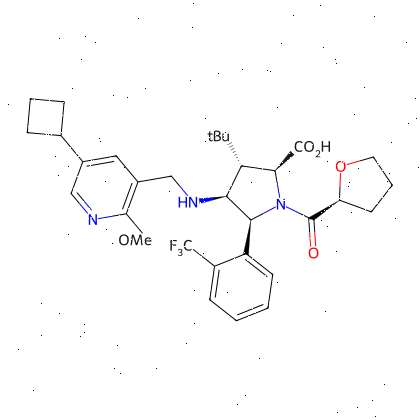 COc1ncc(C2CCC2)cc1CN[C@H]1[C@H](C(C)(C)C)[C@@H](C(=O)O)N(C(=O)[C@@H]2CCCO2)[C@H]1c1ccccc1C(F)(F)F